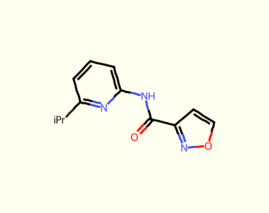 CC(C)c1cccc(NC(=O)c2ccon2)n1